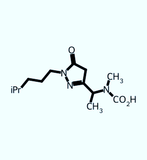 CC(C)CCCN1N=C(C(C)N(C)C(=O)O)CC1=O